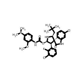 COc1cc(N(C)C)ccc1NC(=O)O[C@H]1N[C@@H](CC(C)(C)C)[C@@]2(C(=O)Nc3cc(Cl)ccc32)[C@H]1c1cccc(Cl)c1F